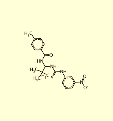 Cc1ccc(C(=O)NC(NC(=S)Nc2cccc([N+](=O)[O-])c2)C(C)(C)C)cc1